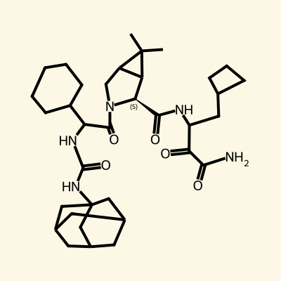 CC1(C)C2CN(C(=O)C(NC(=O)NC34CC5CC(CC(C5)C3)C4)C3CCCCC3)[C@H](C(=O)NC(CC3CCC3)C(=O)C(N)=O)C21